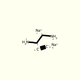 NCCN.[C-]#[C-].[Na+].[Na+]